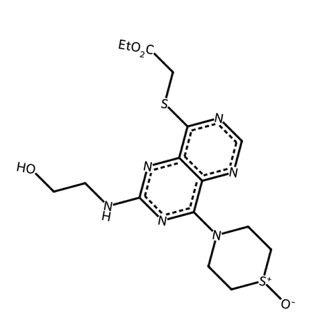 CCOC(=O)CSc1ncnc2c(N3CC[S+]([O-])CC3)nc(NCCO)nc12